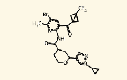 Cc1nc(NC(=O)C2CCOC(c3cnn(C4CC4)c3)C2)c(C(=O)C23CC(C(F)(F)F)(C2)C3)cc1Br